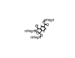 CCCCCCCOC(=O)c1ccc(C(=O)OCCCCCCC)c(C(=O)OCCCCCCC)c1